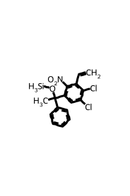 C=Cc1c(Cl)c(Cl)cc(C(C)(O[SiH3])c2ccccc2)c1[N+](=O)[O-]